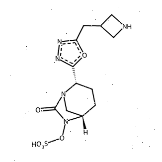 O=C1N2C[C@H](CC[C@H]2c2nnc(CC3CNC3)o2)N1OS(=O)(=O)O